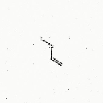 C=C[Si]F